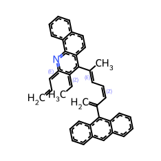 C=C/C=c1/nc2c(ccc3ccccc32)c(/C(C)=C/C=C\C(=C)c2c3ccccc3cc3ccccc23)/c1=C/C